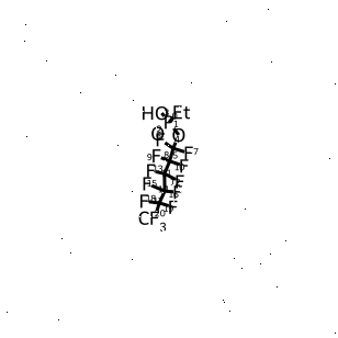 CCP(=O)(O)OC(F)(F)C(F)(F)C(F)(F)C(F)(F)C(F)(F)C(F)(F)F